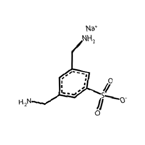 NCc1cc(CN)cc(S(=O)(=O)[O-])c1.[Na+]